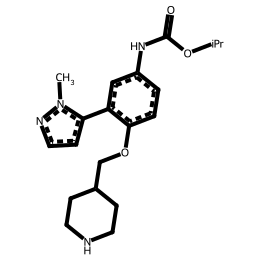 CC(C)OC(=O)Nc1ccc(OCC2CCNCC2)c(-c2ccnn2C)c1